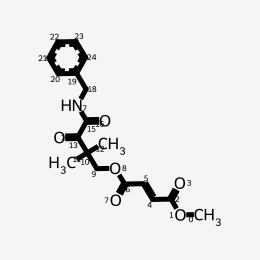 COC(=O)/C=C/C(=O)OCC(C)(C)C(=O)C(=O)NCc1ccccc1